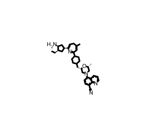 CC[C@@H]1C[C@H](C2=CCC(C)=CC(C3CCC(C[C@H]4CN(c5ccc(C#N)c6ncccc56)C[C@@H](C)O4)CC3)=N2)C[C@@H]1N